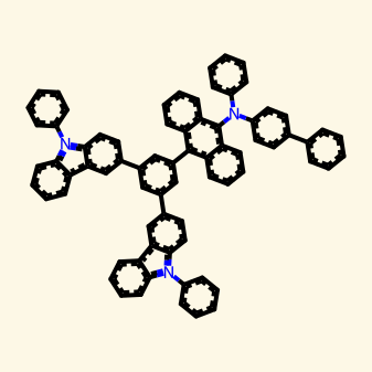 c1ccc(-c2ccc(N(c3ccccc3)c3c4ccccc4c(-c4cc(-c5ccc6c(c5)c5ccccc5n6-c5ccccc5)cc(-c5ccc6c(c5)c5ccccc5n6-c5ccccc5)c4)c4ccccc34)cc2)cc1